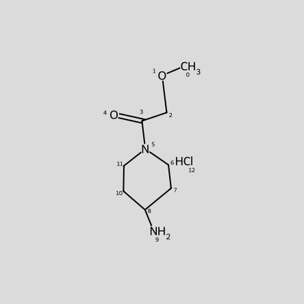 COCC(=O)N1CCC(N)CC1.Cl